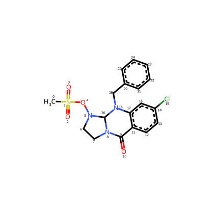 CS(=O)(=O)ON1CCN2C(=O)c3ccc(Cl)cc3N(Cc3ccccc3)C12